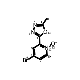 Cc1nnc(-c2cc(Br)cc[n+]2[O-])o1